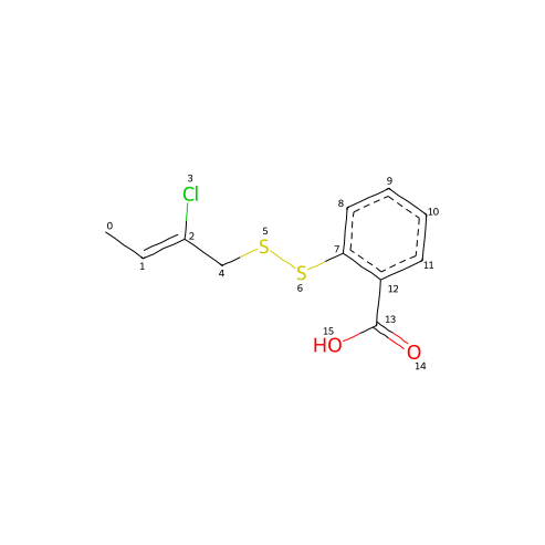 C/C=C(\Cl)CSSc1ccccc1C(=O)O